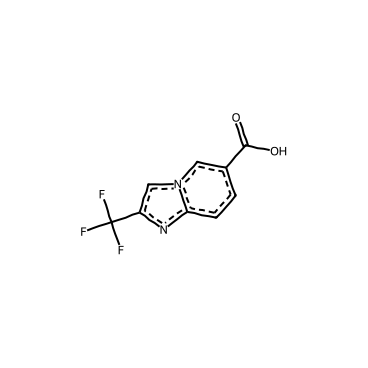 O=C(O)c1ccc2nc(C(F)(F)F)cn2c1